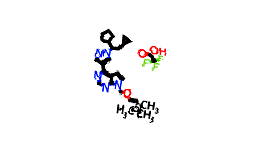 C[Si](C)(C)CCOCn1ccc2c(-c3cnn(C(CC4CC4)C4CCCC4)c3)ncnc21.O=C(O)C(F)(F)F